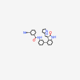 N#Cc1cccc(C(=O)Nc2cccc(-c3cccc4c3/C(=C/c3ccc[nH]3)C(=O)N4)c2)c1